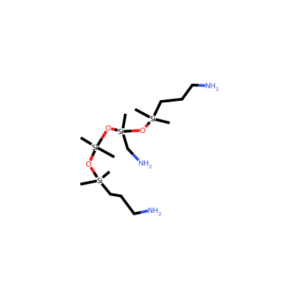 C[Si](C)(CCCN)O[Si](C)(C)O[Si](C)(CN)O[Si](C)(C)CCCN